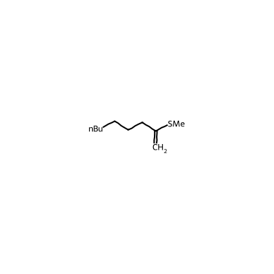 C=C(CCCCCCC)SC